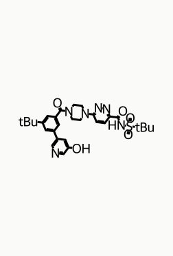 CC(C)(C)c1cc(C(=O)N2CCN(c3ccc(C(=O)NS(=O)(=O)C(C)(C)C)nn3)CC2)cc(-c2cncc(O)c2)c1